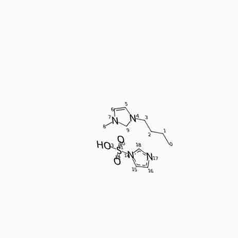 CCCCN1C=CN(C)C1.O=S(=O)(O)n1ccnc1